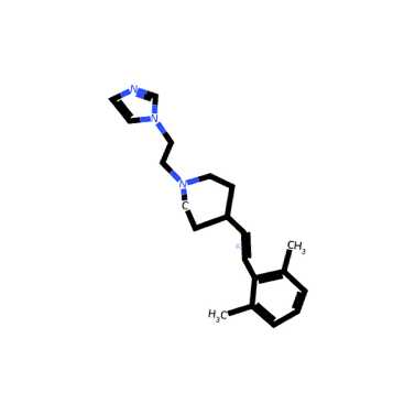 Cc1cccc(C)c1/C=C/C1CCN(CCn2ccnc2)CC1